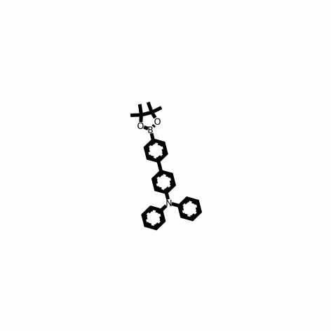 CC1(C)OB(c2ccc(-c3ccc(N(c4ccccc4)c4ccccc4)cc3)cc2)OC1(C)C